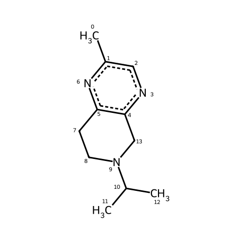 Cc1cnc2c(n1)CCN(C(C)C)C2